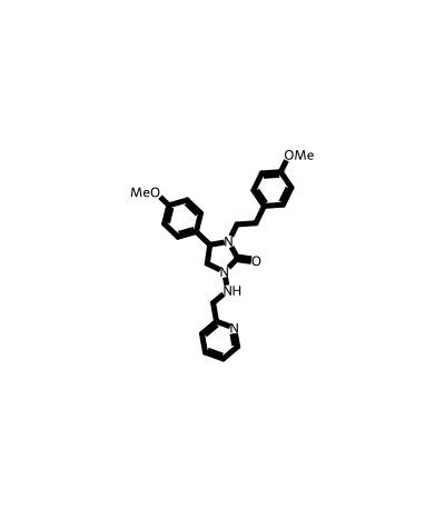 COc1ccc(CCN2C(=O)N(NCc3ccccn3)CC2c2ccc(OC)cc2)cc1